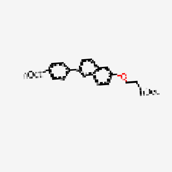 CCCCCCCCCCCCOc1ccc2cc(-c3ccc(CCCCCCCC)cc3)ccc2c1